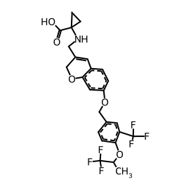 CC(Oc1ccc(COc2ccc3c(c2)OCC(CNC2(C(=O)O)CC2)=C3)cc1C(F)(F)F)C(F)(F)F